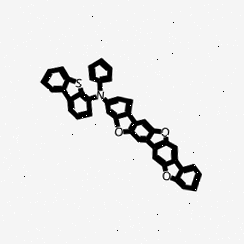 c1ccc(N(c2ccc3c(c2)oc2cc4c(cc23)oc2cc3c(cc24)oc2ccccc23)c2cccc3c2sc2ccccc23)cc1